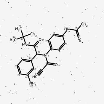 C#CC(=O)N(c1ccc(NC(C)=O)cc1)C(C(=O)NC(C)(C)C)c1cccc(N)c1